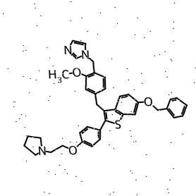 COc1cc(Cc2c(-c3ccc(OCCN4CCCC4)cc3)sc3cc(OCc4ccccc4)ccc23)ccc1Cn1ccnc1